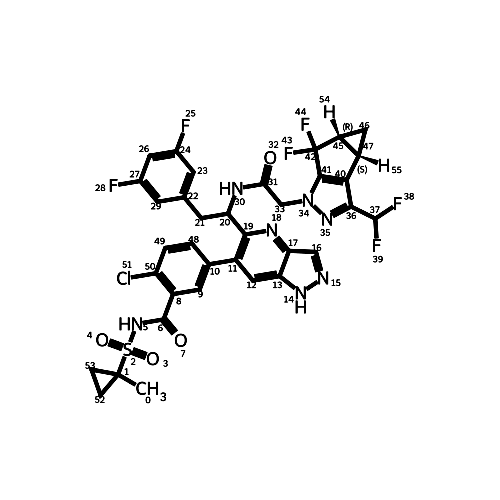 CC1(S(=O)(=O)NC(=O)c2cc(-c3cc4[nH]ncc4nc3C(Cc3cc(F)cc(F)c3)NC(=O)Cn3nc(C(F)F)c4c3C(F)(F)[C@@H]3C[C@H]43)ccc2Cl)CC1